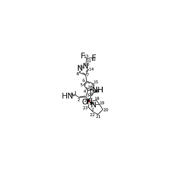 N=C/C=C(\c1cc(-c2cnn(C(F)F)c2)c[nH]1)N1CC2CCC(C1)N2C(=O)C1CC1